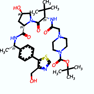 C[C@H](NC(=O)[C@@H]1C[C@@H](O)CN1C(=O)[C@@H](NC(=O)CN1CCN(C(=O)OC(C)(C)C)CC1)C(C)(C)C)c1ccc(-c2scnc2CO)cc1